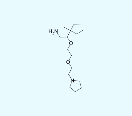 CCC(C)(CC)C(CN)OCCOCCN1CCCC1